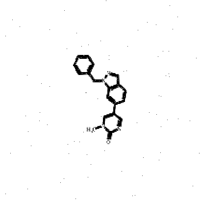 Cn1cc(-c2ccc3cnn(Cc4ccccc4)c3c2)cnc1=O